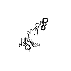 Cc1ccc2c(c1)N(O)N=C(NCCCN(C)CCCNC(=O)c1cccc3cc4ccccc4nc13)N2O